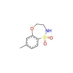 Cc1ccc2c(c1)OCCNS2(=O)=O